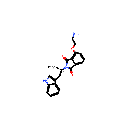 NCCOc1cccc2c1C(=O)N([C@@H](Cc1c[nH]c3ccccc13)C(=O)O)C2=O